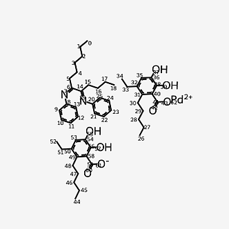 CCCCCCC(=Nc1ccccc1)C(CCCC)=Nc1ccccc1.CCCCCc1c(CC)cc(O)c(O)c1C(=O)[O-].CCCCCc1c(CC)cc(O)c(O)c1C(=O)[O-].[Pd+2]